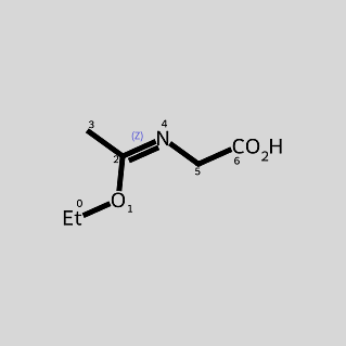 CCO/C(C)=N\CC(=O)O